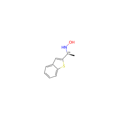 C[C@H](NO)c1cc2ccccc2s1